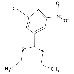 CCSC(SCC)c1cc(Cl)cc([N+](=O)[O-])c1